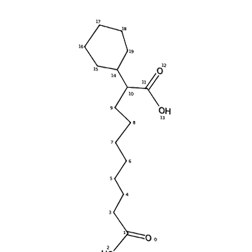 O=C(O)CCCCCCCC(C(=O)O)C1CCCCC1